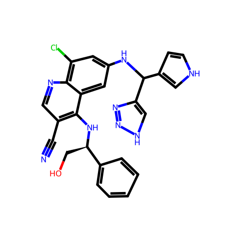 N#Cc1cnc2c(Cl)cc(NC(c3cc[nH]c3)c3c[nH]nn3)cc2c1N[C@H](CO)c1ccccc1